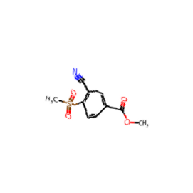 COC(=O)c1ccc(S(C)(=O)=O)c(C#N)c1